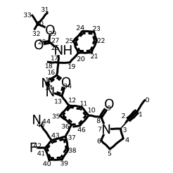 CC#C[C@H]1CCCN1C(=O)c1cc(-c2nnc(C(C)(Cc3ccccc3)NC(=O)OC(C)(C)C)o2)cc(-c2cccc(F)c2C#N)c1